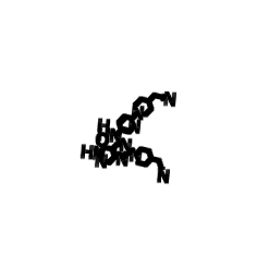 N#CCC1CCN(c2ccc(Nc3nc(N4CCC(CC#N)CC4)nc4c3C(O)NN=C4)cn2)CC1